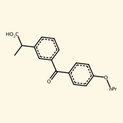 CCCOc1ccc(C(=O)c2cccc(C(C)C(=O)O)c2)cc1